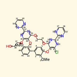 COc1ccccc1Oc1c(Cl)nc(-c2ncccn2)nc1OCCOc1nc(-c2ncccn2)nc(OCCO)c1Oc1ccccc1OC